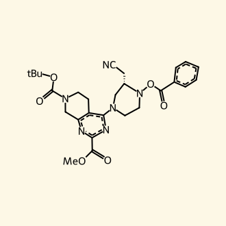 COC(=O)c1nc2c(c(N3CCN(OC(=O)c4ccccc4)[C@@H](CC#N)C3)n1)CCN(C(=O)OC(C)(C)C)C2